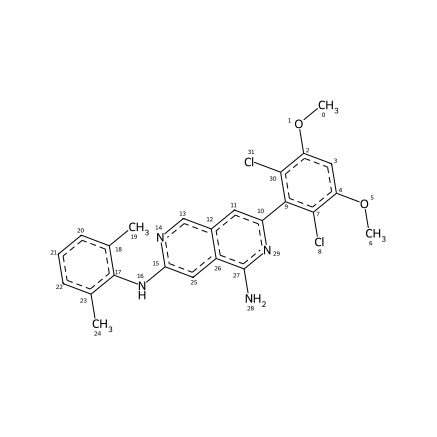 COc1cc(OC)c(Cl)c(-c2cc3cnc(Nc4c(C)cccc4C)cc3c(N)n2)c1Cl